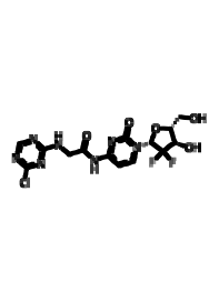 O=C(CNc1ncnc(Cl)n1)Nc1ccn([C@@H]2O[C@H](CO)[C@@H](O)C2(F)F)c(=O)n1